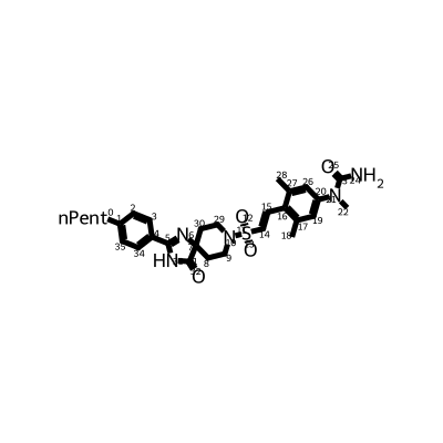 CCCCCc1ccc(C2=NC3(CCN(S(=O)(=O)/C=C/c4c(C)cc(N(C)C(N)=O)cc4C)CC3)C(=O)N2)cc1